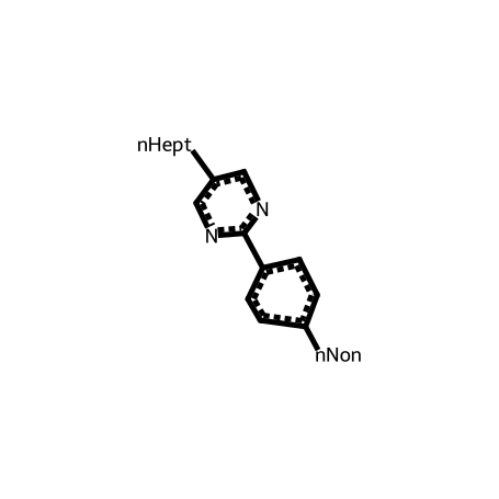 CCCCCCCCCc1ccc(-c2ncc(CCCCCCC)cn2)cc1